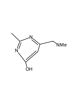 CNCc1cc(O)nc(C)n1